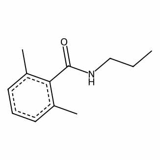 CCCNC(=O)c1c(C)cccc1C